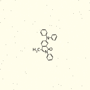 Cc1cn(-c2ccccc2)c(=O)c2cc(N(c3ccccc3)c3ccccc3)ccc12